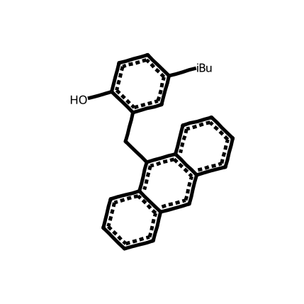 CCC(C)c1ccc(O)c(Cc2c3ccccc3cc3ccccc23)c1